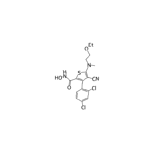 CCOCCN(C)c1sc(C(=O)NO)c(-c2ccc(Cl)cc2Cl)c1C#N